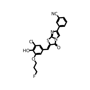 N#Cc1cccc(-c2cn3c(=O)/c(=C/c4cc(Cl)c(O)c(OCCCF)c4)sc3n2)c1